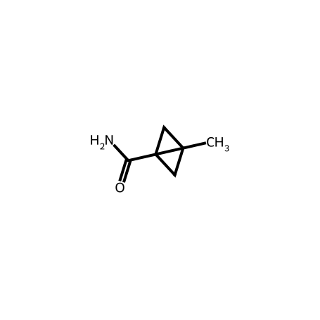 CC12CC1(C(N)=O)C2